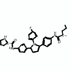 CCC[C@H](C)C(=O)Nc1ccc(C2CCC(c3ccc(NC(=O)[C@@H]4CCCN4)cc3)N2c2ccc(F)cc2)cc1